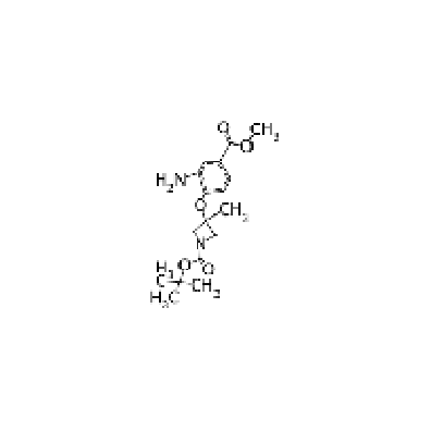 COC(=O)c1ccc(OC2(C)CN(C(=O)OC(C)(C)C)C2)c(N)c1